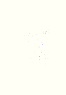 COC(=O)CS(=O)(=O)/N=C1\CC2=C(/C=C/Br)[C@H](c3ccc(F)cc3Cl)N=C(c3nccs3)N2C1